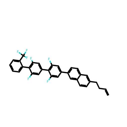 C=CCCc1ccc2cc(-c3cc(F)c(-c4cc(F)c(-c5ccccc5C(F)(F)F)c(F)c4)c(F)c3)ccc2c1